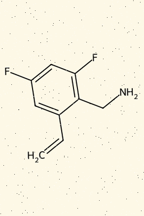 C=Cc1cc(F)cc(F)c1CN